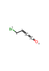 O=C=C=CCBr